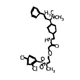 CN(C)C(CCc1ccccc1)C1CCC(CNC(=O)COCCN(C)S(=O)(=O)c2ccc(Cl)cc2Cl)CC1